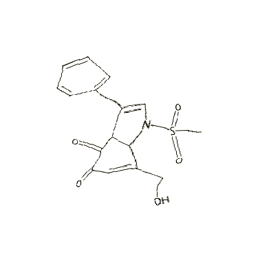 CS(=O)(=O)N1C=C(c2ccccc2)C2C(=O)C(=O)C=C(CO)C21